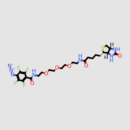 [N-]=[N+]=Nc1c(F)c(F)c(C(=O)NCCOCCOCCOCCNC(=O)CCCC[C@@H]2SC[C@@H]3NC(=O)N[C@@H]32)c(F)c1F